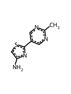 Cc1ncc(-c2nc(N)cs2)cn1